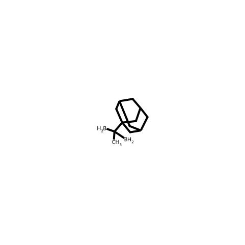 BC(B)(C)C12CC3CC(CC(C3)C1)C2